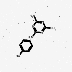 Nc1nc(N)nc(N)n1.Oc1ccccc1